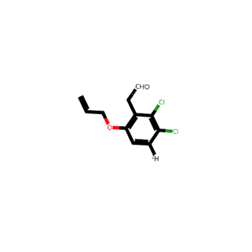 [2H]c1cc(OCC=C)c(CC=O)c(Cl)c1Cl